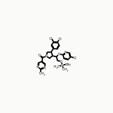 Cc1ncc(C(=O)N2CC(c3ccc(Cl)c(Cl)c3)C(C(CO[Si](C)(C)C(C)(C)C)Oc3ccc(Cl)cn3)C2)cn1